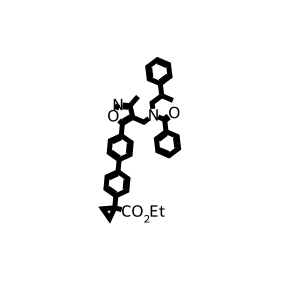 CCOC(=O)C1(c2ccc(-c3ccc(-c4onc(C)c4CN(CC(C)c4ccccc4)C(=O)c4ccccc4)cc3)cc2)CC1